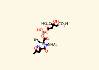 CC(=O)NN(C(=O)c1cc(C)on1)[C@H](CC(C)C)C(=O)OB(O)OC(=O)CC(O)(CC(=O)O)C(=O)O